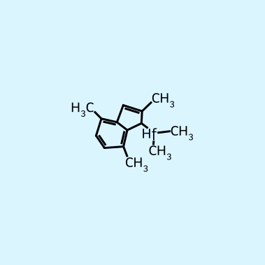 CC1=Cc2c(C)ccc(C)c2[CH]1[Hf]([CH3])[CH3]